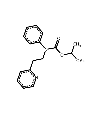 CC(=O)OC(C)OC(=O)N(CCc1ccccn1)c1ccccc1